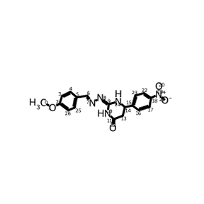 COc1ccc(C=NN=C2NC(=O)CC(c3ccc([N+](=O)[O-])cc3)N2)cc1